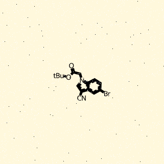 CC(C)(C)OC(=O)Cn1cc(C#N)c2cc(Br)ccc21